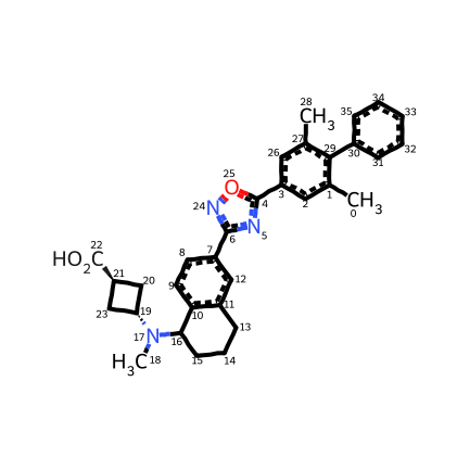 Cc1cc(-c2nc(-c3ccc4c(c3)CCCC4N(C)[C@H]3C[C@H](C(=O)O)C3)no2)cc(C)c1-c1ccccc1